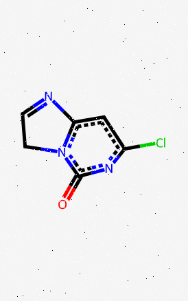 O=c1nc(Cl)cc2n1CC=N2